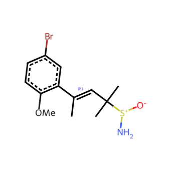 COc1ccc(Br)cc1/C(C)=C/C(C)(C)[S+](N)[O-]